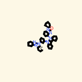 c1cc(-n2c3ccccc3c3c4ccccc4n(-c4cccc5c4nc4oc6ccccc6n45)c32)cc(-n2c3ccccc3n3c4ccccc4nc23)c1